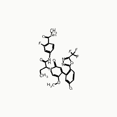 CCC(C(=O)Nc1ccc(C(=O)NC)c(F)c1)n1cc(OC)c(-c2cc(Cl)ccc2-c2nnc(C(F)(F)F)o2)cc1=O